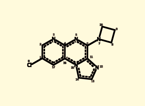 Clc1cnc2nc(N3CCC3)c3nccn3c2c1